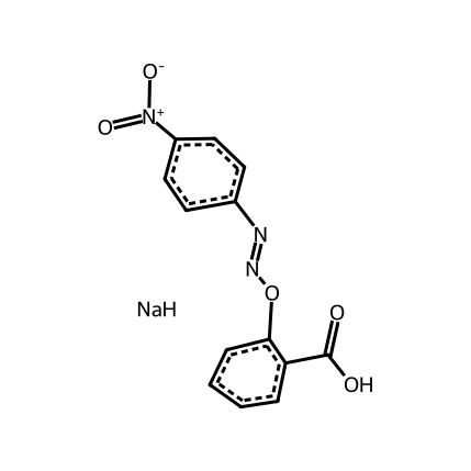 O=C(O)c1ccccc1ON=Nc1ccc([N+](=O)[O-])cc1.[NaH]